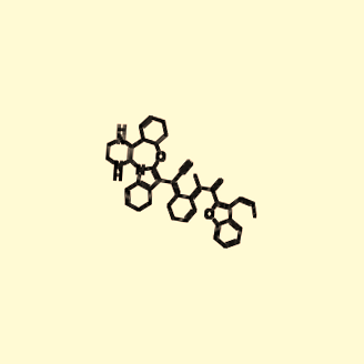 C#C/C(=C1/CCC=C/C1=C(/C)C(=C)c1oc2ccccc2c1/C=C\C)c1c2c(n3c1OC1CCC=CC1C1=C3NCCN1)C=CCC2